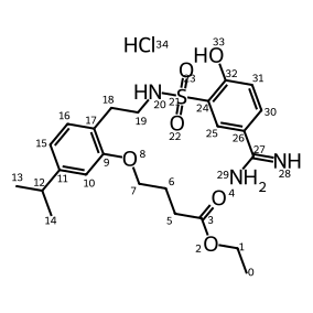 CCOC(=O)CCCOc1cc(C(C)C)ccc1CCNS(=O)(=O)c1cc(C(=N)N)ccc1O.Cl